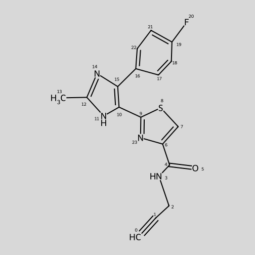 C#CCNC(=O)c1csc(-c2[nH]c(C)nc2-c2ccc(F)cc2)n1